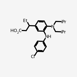 CCC(CC(=O)O)c1ccc(N(CC(C)C)CC(C)C)c(Nc2ccc(Cl)cc2)c1